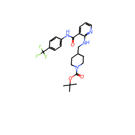 CC(C)(C)OC(=O)N1CCC(CNc2ncccc2C(=O)Nc2ccc(C(F)(F)F)cc2)CC1